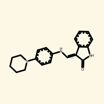 O=C1Nc2ccccc2/C1=C\Nc1ccc(N2CCCCC2)cc1